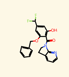 O=C(c1c(O)cc(C(F)F)cc1OCc1ccccc1)N1CCc2cccnc21